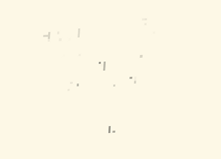 C=C(F)C(=O)N1CCN(c2nc(OCC34CCCN3CCC4)nc3c(F)c(-c4cccc5ccsc45)ccc23)C[C@@H]1CC#N